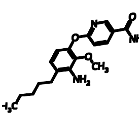 CCCCCc1ccc(Oc2ccc(C(N)=O)cn2)c(OC)c1N